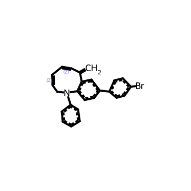 C=C1/C=C\C=C/CN(c2ccccc2)c2ccc(-c3ccc(Br)cc3)cc21